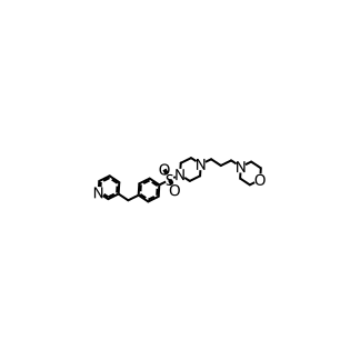 O=S(=O)(c1ccc(Cc2cccnc2)cc1)N1CCN(CCCN2CCOCC2)CC1